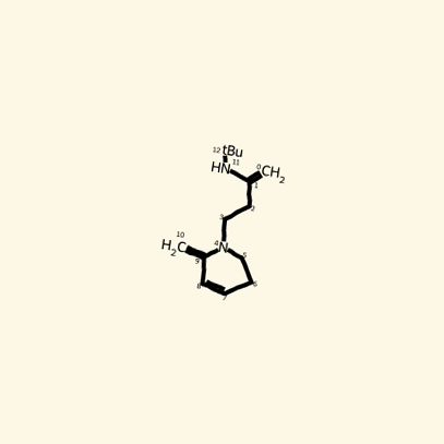 C=C(CCN1CCC=CC1=C)NC(C)(C)C